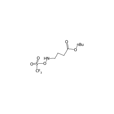 CCCCOC(=O)CCCNOS(=O)(=O)C(F)(F)F